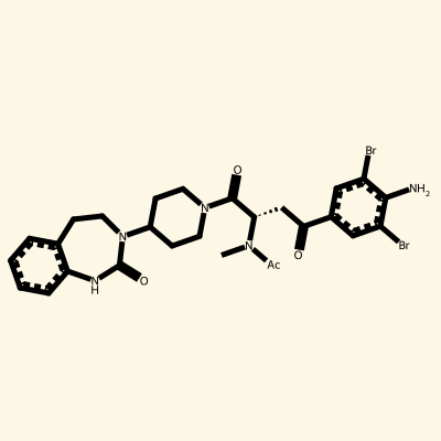 CC(=O)N(C)[C@@H](CC(=O)c1cc(Br)c(N)c(Br)c1)C(=O)N1CCC(N2CCc3ccccc3NC2=O)CC1